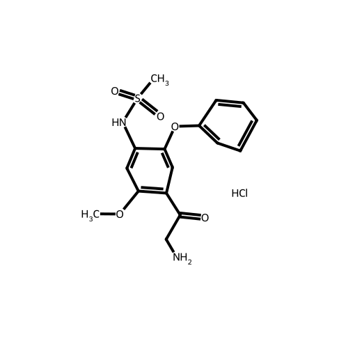 COc1cc(NS(C)(=O)=O)c(Oc2ccccc2)cc1C(=O)CN.Cl